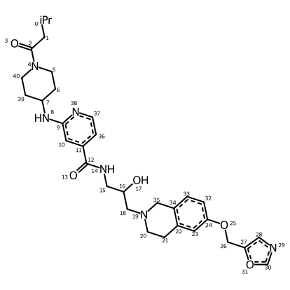 CC(C)CC(=O)N1CCC(Nc2cc(C(=O)NCC(O)CN3CCc4cc(OCc5cnco5)ccc4C3)ccn2)CC1